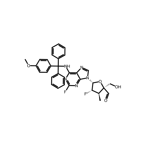 COc1ccc(C(Nc2nc(F)nc3c2ncn3[C@@H]2O[C@](C=O)(CO)[C@@H](C)[C@@H]2F)(c2ccccc2)c2ccccc2)cc1